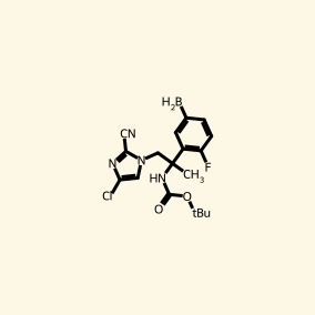 Bc1ccc(F)c(C(C)(Cn2cc(Cl)nc2C#N)NC(=O)OC(C)(C)C)c1